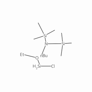 CCCCN([Si](C)(C)C)[Si](C)(C)C.CCO[SiH2]Cl